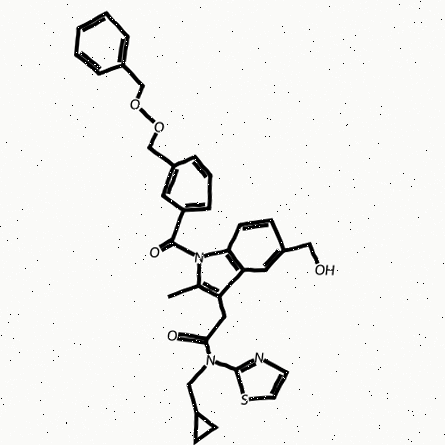 Cc1c(CC(=O)N(CC2CC2)c2nccs2)c2cc(CO)ccc2n1C(=O)c1cccc(COOCc2ccccc2)c1